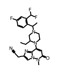 CCC1CN(C(C)c2ccc(F)cc2C(F)F)CCN1c1cc(=O)n(C)n2cc(CC#N)nc12